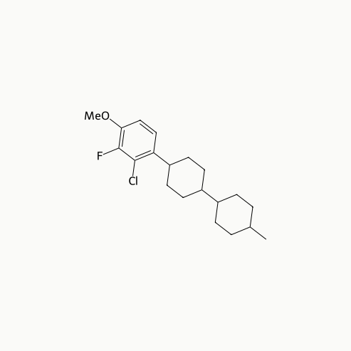 COc1ccc(C2CCC(C3CCC(C)CC3)CC2)c(Cl)c1F